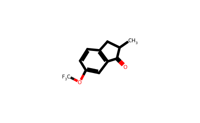 CC1Cc2ccc(OC(F)(F)F)cc2C1=O